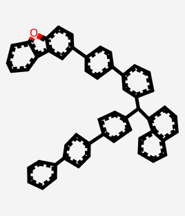 c1ccc(-c2ccc(-c3ccc(C(c4cccc(-c5ccc(-c6ccc7oc8ccccc8c7c6)cc5)c4)c4cccc5ccccc45)cc3)cc2)cc1